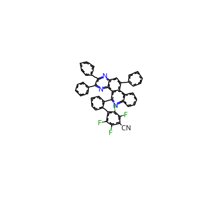 N#Cc1c(F)c(F)c(-c2ccccc2-c2nc3ccccc3c3c(-c4ccccc4)cc4nc(-c5ccccc5)c(-c5ccccc5)nc4c23)c(F)c1F